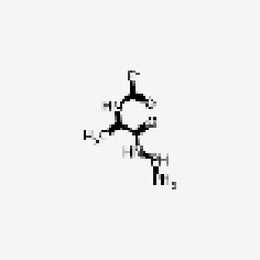 C=C(NC(=O)CC)C(=O)NPP